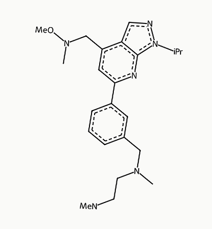 CNCCN(C)Cc1cccc(-c2cc(CN(C)OC)c3cnn(C(C)C)c3n2)c1